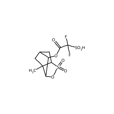 CC12CC3CC1S(=O)(=O)OC2C3OC(=O)C(F)(F)S(=O)(=O)O